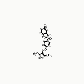 Cc1noc(C)c1COc1ccc(S(=O)(=O)Nc2cc(Cl)ccc2Cl)cc1